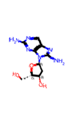 Nc1ncc2nc(N)n([C@H]3C[C@@H](O)[C@H](CO)O3)c2n1